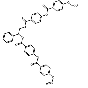 CCCCCCCCOc1ccc(C(=O)Oc2ccc(C(=O)OCC(OC(=O)c3ccc(OC(=O)c4ccc(OCCCCCCCC)cc4)cc3)c3ccccc3)cc2)cc1